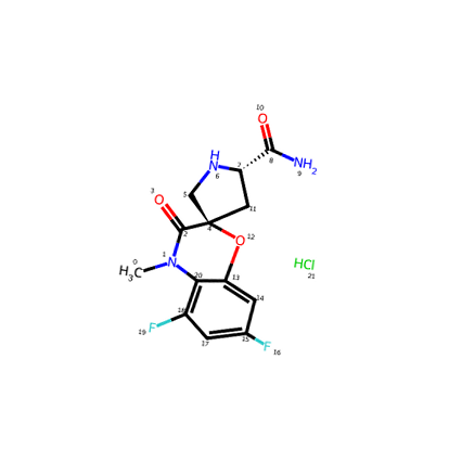 CN1C(=O)[C@@]2(CN[C@H](C(N)=O)C2)Oc2cc(F)cc(F)c21.Cl